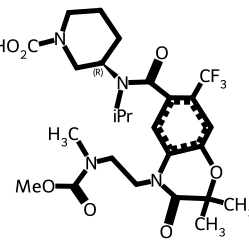 COC(=O)N(C)CCN1C(=O)C(C)(C)Oc2cc(C(F)(F)F)c(C(=O)N(C(C)C)[C@@H]3CCCN(C(=O)O)C3)cc21